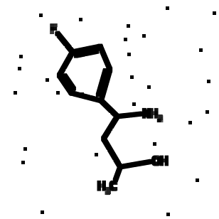 CC(O)CC(N)c1ccc(F)cc1